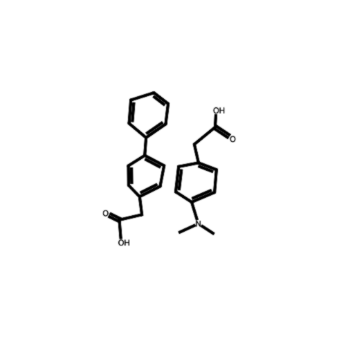 CN(C)c1ccc(CC(=O)O)cc1.O=C(O)Cc1ccc(-c2ccccc2)cc1